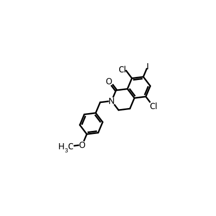 COc1ccc(CN2CCc3c(Cl)cc(I)c(Cl)c3C2=O)cc1